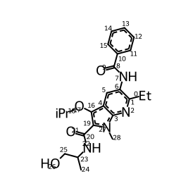 CCc1nc2c(cc1NC(=O)c1ccccc1)c(OC(C)C)c(C(=O)NC(C)CO)n2C